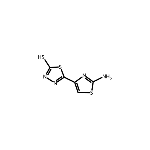 Nc1nc(-c2nnc(S)s2)cs1